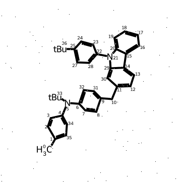 Cc1ccc(N(c2ccc(Cc3ccc4c5ccccc5n(-c5ccc(C(C)(C)C)cc5)c4c3)cc2)C(C)(C)C)cc1